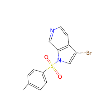 Cc1ccc(S(=O)(=O)n2cc(Br)c3ccncc32)cc1